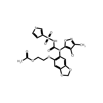 CC(=O)OCCOc1cc2c(cc1N(C(=O)NS(=O)(=O)c1ccsc1)c1onc(C)c1Cl)OCO2